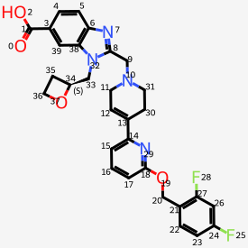 O=C(O)c1ccc2nc(CN3CC=C(c4cccc(OCc5ccc(F)cc5F)n4)CC3)n(C[C@@H]3CCO3)c2c1